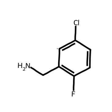 NCc1[c]c(Cl)ccc1F